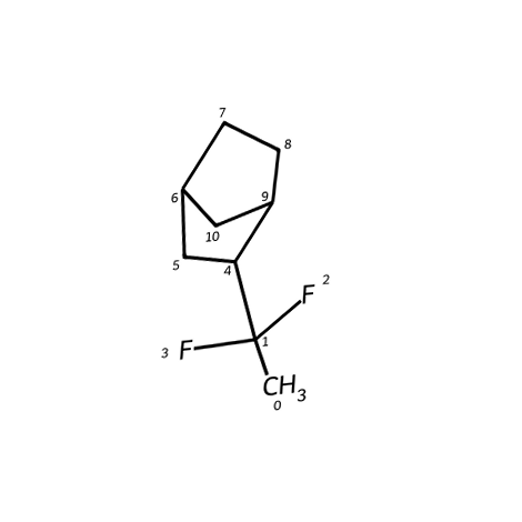 CC(F)(F)C1CC2CCC1C2